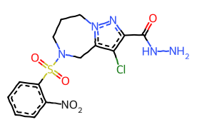 NNC(=O)c1nn2c(c1Cl)CN(S(=O)(=O)c1ccccc1[N+](=O)[O-])CCC2